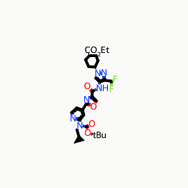 CCOC(=O)[C@H]1CC[C@@H](n2cc(NC(=O)c3coc(-c4ccnc(N(CC5CC5)C(=O)OC(C)(C)C)c4)n3)c(C(F)F)n2)CC1